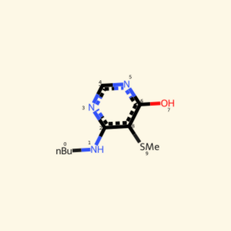 CCCCNc1n[c]nc(O)c1SC